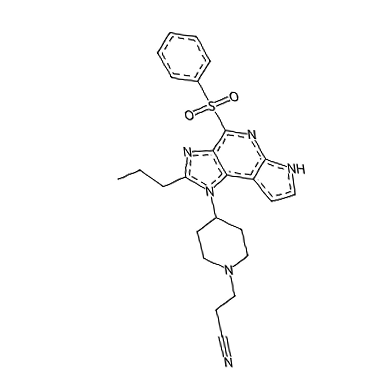 CCCc1nc2c(S(=O)(=O)c3ccccc3)nc3[nH]ccc3c2n1C1CCN(CCC#N)CC1